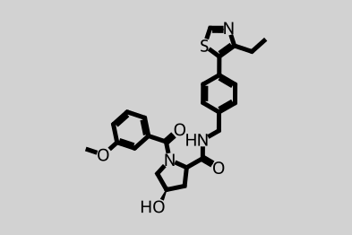 CCc1ncsc1-c1ccc(CNC(=O)C2C[C@@H](O)CN2C(=O)c2cccc(OC)c2)cc1